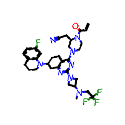 C=CC(=O)N1CCN(c2nc(N3CC(N(C)CC(F)(F)F)C3)nc3c2CCC(N2CCCc4ccc(F)cc42)C3)CC1CC#N